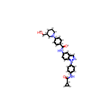 O=C(Nc1ccc2c(cnn2-c2ccc(NC(=O)C3CC3)cc2)c1)c1ccc(N2CCCC(CO)C2)cc1